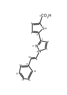 O=C(O)c1ccc(-c2ccn(C=Cc3ccccc3)n2)s1